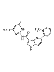 COC1=CC(C)NC(NC(=O)C2=CNC3C=CC(c4ccccc4C(F)(F)F)=NN23)=N1